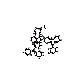 Cc1ccc2c(c1)C(Cc1ccc3c(c1)c1ccccc1n3-c1ccccc1)(Cc1ccc3c(c1)c1ccccc1n3-c1ccccc1)c1cc(C)ccc1-2